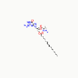 CCCCCCCC/C=C/CCCCCCCC(=O)OCC[C@@H](COC(=O)[C@@H](N)C(C)C)Cn1cnc2c(=O)[nH]c(N)nc21